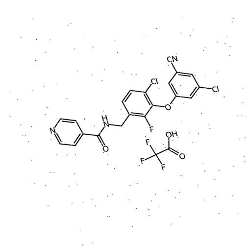 N#Cc1cc(Cl)cc(Oc2c(Cl)ccc(CNC(=O)c3ccncc3)c2F)c1.O=C(O)C(F)(F)F